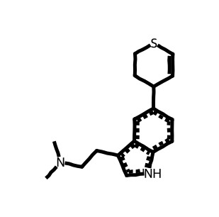 CN(C)CCc1c[nH]c2ccc(C3C=CSCC3)cc12